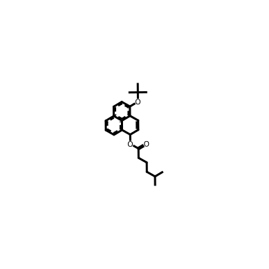 CC(C)CCCC(=O)OC1C=Cc2c(OC(C)(C)C)ccc3cccc1c23